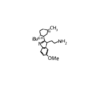 CC[C@@H](C)C1CC[C@@H](C)C[C@H]1C1=Nc2ccc(OC)cc2C1CCN